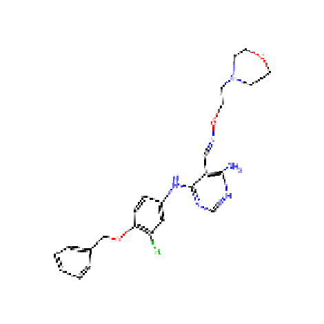 Nc1ncnc(Nc2ccc(OCc3ccccc3)c(Cl)c2)c1C=NOCCN1CCOCC1